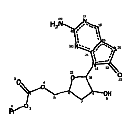 CC(C)OC(=O)OCC1CC(O)C(n2c(=O)sc3cnc(N)nc32)O1